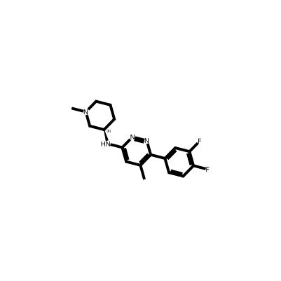 Cc1cc(N[C@@H]2CCCN(C)C2)nnc1-c1ccc(F)c(F)c1